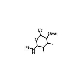 CCNC1OC(CC)C(OC)C(C)C1C